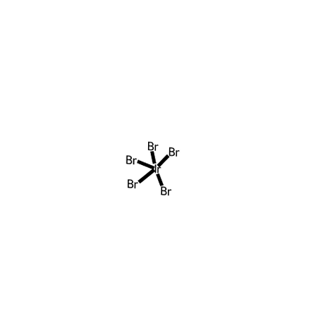 [Br][Ir]([Br])([Br])([Br])[Br]